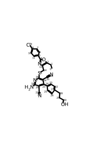 CCc1oc(-c2ccc(Cl)cc2)nc1CSc1nc(N)c(C#N)c(-c2ccc(CCCO)cc2)c1C#N